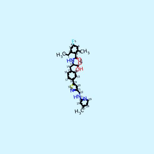 CCc1cc(F)cc(C)c1C(=O)NC(Cc1ccc(-c2cc(CNc3cc(C)ccn3)ns2)cc1)C(=O)O